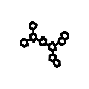 c1ccc(-c2cc(-c3ccccn3)nc(-c3ccc(-c4cc(-c5ccc6ccccc6c5)nc(-c5ccc6ccccc6c5)n4)cn3)c2)cc1